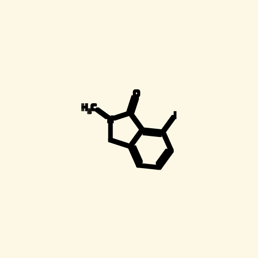 CN1Cc2cccc(I)c2C1=O